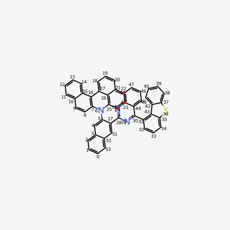 c1ccc2cc(N3c4ccc5ccccc5c4-c4cccc5cccc3c45)c(-c3nc(-c4cccc5sc6ccccc6c45)c4ccccc4n3)cc2c1